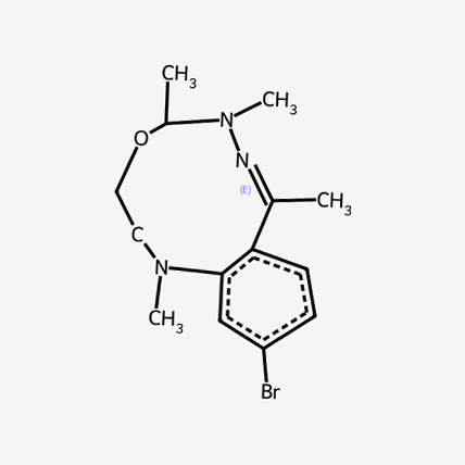 C/C1=N\N(C)C(C)OCCN(C)c2cc(Br)ccc21